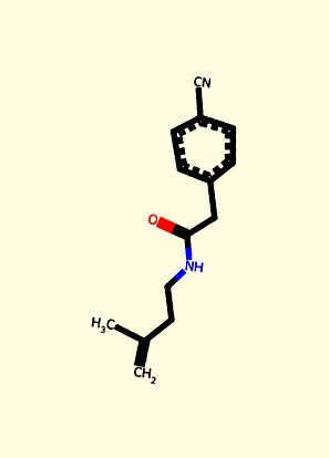 C=C(C)CCNC(=O)Cc1ccc(C#N)cc1